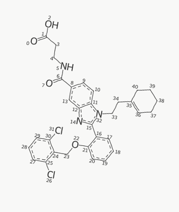 O=C(O)CCNC(=O)c1ccc2c(c1)nc(-c1ccccc1OCc1c(Cl)cccc1Cl)n2CCC1=CCCCC1